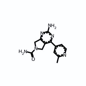 Cc1cc(-c2nc(N)nc3c2CN(C(N)=O)C3)ccn1